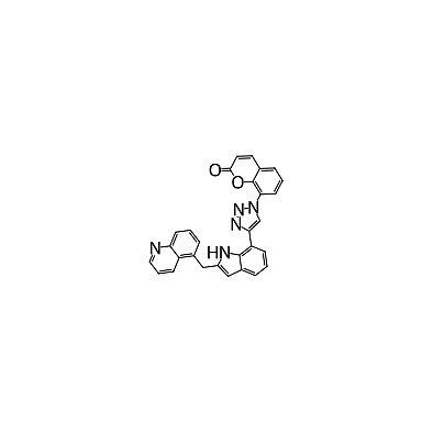 O=c1ccc2cccc(-n3cc(-c4cccc5cc(Cc6cccc7ncccc67)[nH]c45)nn3)c2o1